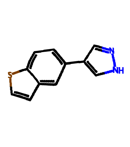 c1cc2cc(-c3cn[nH]c3)ccc2s1